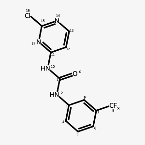 O=C(Nc1cccc(C(F)(F)F)c1)Nc1ccnc(Cl)n1